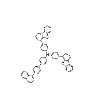 c1ccc2c(-c3ccc(-c4ccc(N(c5ccc(-c6cccc7c6oc6ccccc67)cc5)c5ccc(-c6cccc7c6oc6ccccc67)cc5)cc4)cc3)cccc2c1